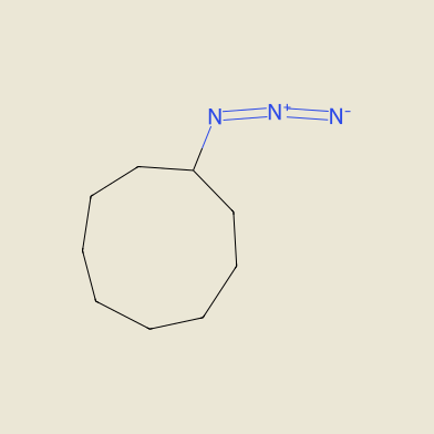 [N-]=[N+]=NC1CCCCCCCC1